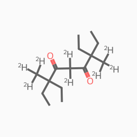 [2H]C([2H])(C(=O)C(CC)(CC)C([2H])([2H])[2H])C(=O)C(CC)(CC)C([2H])([2H])[2H]